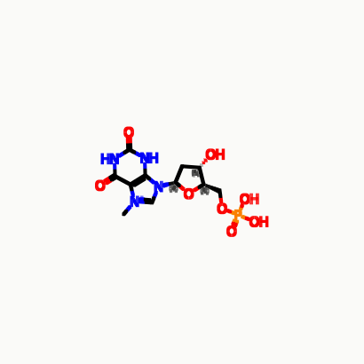 C[n+]1cn([C@H]2C[C@H](O)[C@@H](COP(=O)(O)O)O2)c2[nH]c(=O)[nH]c(=O)c21